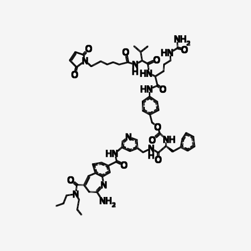 CCCN(CCC)C(=O)C1=Cc2ccc(C(=O)Nc3cncc(CNC(=O)[C@H](Cc4ccccc4)NC(=O)OCc4ccc(NC(=O)C(CCCNC(N)=O)NC(=O)C(NC(=O)CCCCCN5C(=O)C=CC5=O)C(C)C)cc4)c3)cc2N=C(N)C1